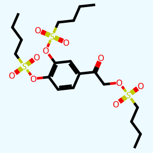 CCCCS(=O)(=O)OCC(=O)c1ccc(OS(=O)(=O)CCCC)c(OS(=O)(=O)CCCC)c1